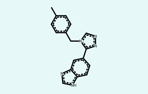 Cc1ccc(Cn2cnnc2-c2ccc3[nH]cnc3c2)cc1